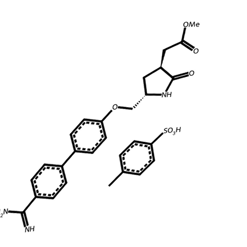 COC(=O)C[C@@H]1C[C@@H](COc2ccc(-c3ccc(C(=N)N)cc3)cc2)NC1=O.Cc1ccc(S(=O)(=O)O)cc1